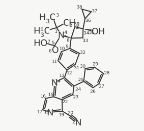 CC(C)(C)N(C(=O)O)[C@]1(c2ccc(-c3nc4ccnc(C#N)c4cc3-c3ccccc3)cc2)C[C@@](O)(C2CC2)C1